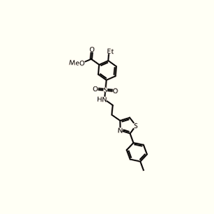 CCc1ccc(S(=O)(=O)NCCc2csc(-c3ccc(C)cc3)n2)cc1C(=O)OC